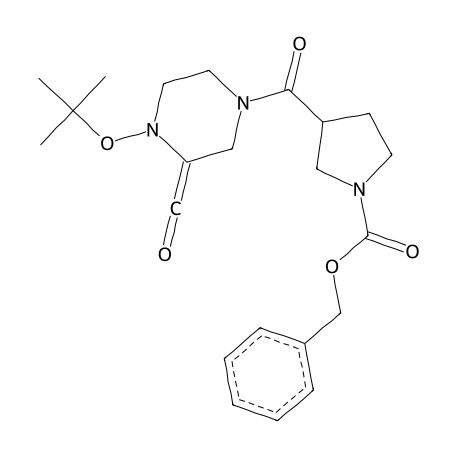 CC(C)(C)ON1CCN(C(=O)C2CCN(C(=O)OCc3ccccc3)C2)CC1=C=O